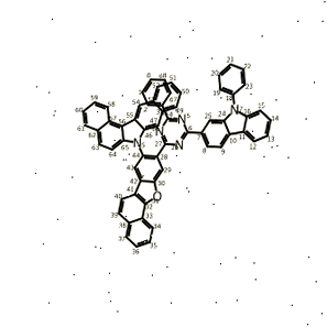 c1ccc(-c2nc(-c3ccc4c5ccccc5n(-c5ccccc5)c4c3)nc(-c3cc4oc5c6ccccc6ccc5c4cc3-n3c4cc5ccccc5cc4c4c5ccccc5ccc43)n2)cc1